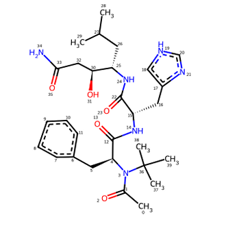 CC(=O)N([C@@H](Cc1ccccc1)C(=O)N[C@@H](Cc1c[nH]cn1)C(=O)N[C@@H](CC(C)C)[C@@H](O)CC(N)=O)C(C)(C)C